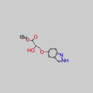 CC(C)(C)OC(=O)[C@H](O)COc1ccc2n[nH]cc2c1